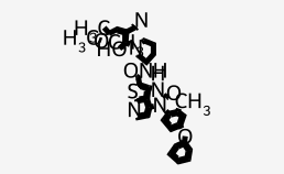 COC(C)(C)/C=C(/C#N)C(O)N1CCC[C@@H](NC(=O)c2sc3nccc4c3c2NC(=O)N4c2ccc(Oc3ccccc3)cc2C)C1